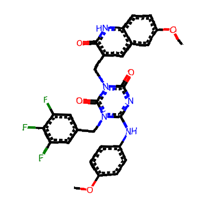 COc1ccc(Nc2nc(=O)n(Cc3cc4cc(OC)ccc4[nH]c3=O)c(=O)n2Cc2cc(F)c(F)c(F)c2)cc1